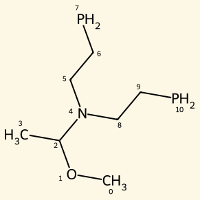 COC(C)N(CCP)CCP